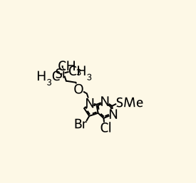 CSc1nc(Cl)c2c(Br)cn(COCC[Si](C)(C)C)c2n1